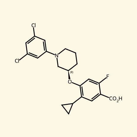 O=C(O)c1cc(C2CC2)c(O[C@@H]2CCCN(c3cc(Cl)cc(Cl)c3)C2)cc1F